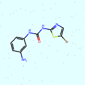 Nc1cccc(NC(=O)Nc2ncc(Br)s2)c1